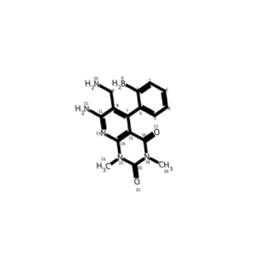 Bc1ccccc1-c1c(CN)c(N)nc2c1c(=O)n(C)c(=O)n2C